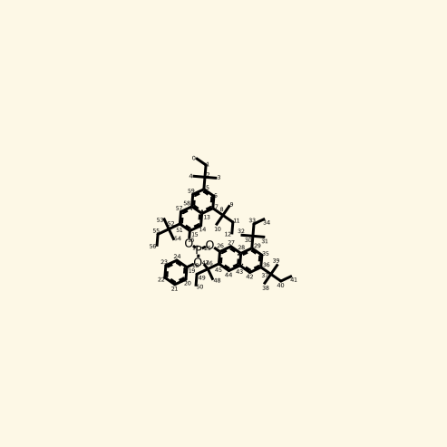 CCC(C)(C)c1cc(C(C)(C)CC)c2cc(OP(Oc3ccccc3)Oc3cc4c(C(C)(C)CC)cc(C(C)(C)CC)cc4cc3C(C)(C)CC)c(C(C)(C)CC)cc2c1